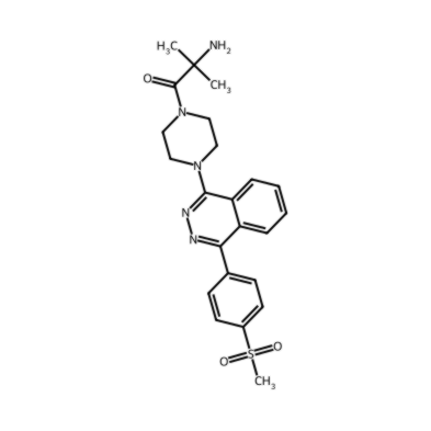 CC(C)(N)C(=O)N1CCN(c2nnc(-c3ccc(S(C)(=O)=O)cc3)c3ccccc23)CC1